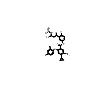 Cc1cc(F)ccc1Oc1cc(C2CC2)c(C(F)(F)F)cc1C(=O)Nc1ccc(F)c(C(C)CC(N[S+]([O-])C(C)(C)C)C(F)(F)F)c1